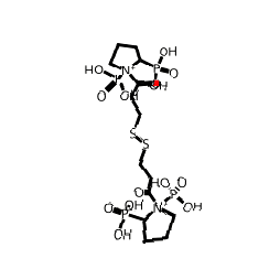 O=C(CCSSCCC(=O)[N+]1(P(=O)(O)O)CCCC1P(=O)(O)O)[N+]1(P(=O)(O)O)CCCC1P(=O)(O)O